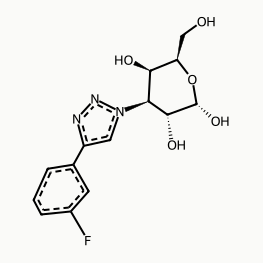 OC[C@H]1O[C@H](O)[C@H](O)[C@@H](n2cc(-c3cccc(F)c3)nn2)[C@H]1O